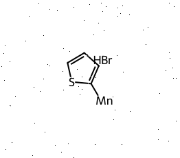 Br.[Mn][c]1cccs1